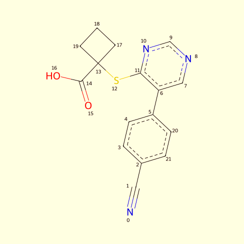 N#Cc1ccc(-c2cncnc2SC2(C(=O)O)CCC2)cc1